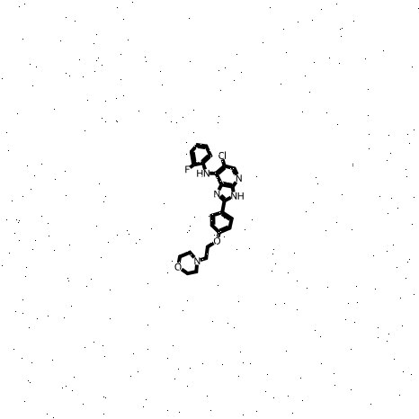 Fc1ccccc1Nc1c(Cl)cnc2[nH]c(-c3ccc(OCCN4CCOCC4)cc3)nc12